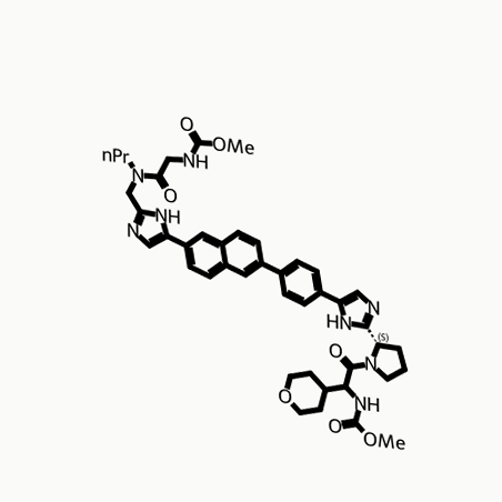 CCCN(Cc1ncc(-c2ccc3cc(-c4ccc(-c5cnc([C@@H]6CCCN6C(=O)C(NC(=O)OC)C6CCOCC6)[nH]5)cc4)ccc3c2)[nH]1)C(=O)CNC(=O)OC